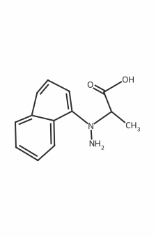 CC(C(=O)O)N(N)c1cccc2ccccc12